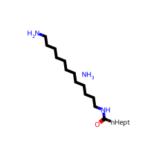 CCCCCCCC(=O)NCCCCCCCCCCCCN.N